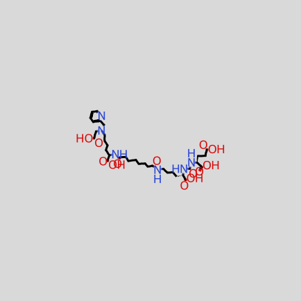 O=C(O)CC[C@H](NC(=O)N[C@@H](CCCCNC(=O)CCCCCCC(=O)NC(CCCCN(CC(=O)O)Cc1ccccn1)C(=O)O)C(=O)O)C(=O)O